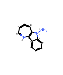 Nn1c2c(c3ccccc31)N=CC=C=C2